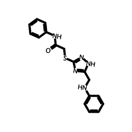 O=C(CSc1n[nH]c(CNc2ccccc2)n1)Nc1ccccc1